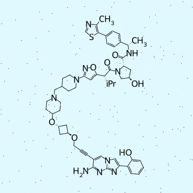 Cc1ncsc1-c1ccc([C@H](C)NC(=O)[C@@H]2C[C@@H](O)CN2C(=O)[C@@H](c2cc(N3CCC(CN4CCC(O[C@H]5C[C@H](OCC#Cc6cn7cc(-c8ccccc8O)nc7nc6N)C5)CC4)CC3)no2)C(C)C)cc1